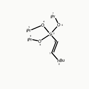 CCCCC=C[Si](OC(C)C)(OC(C)C)OC(C)C